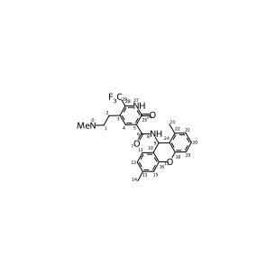 CNCCc1cc(C(=O)NC2c3ccc(C)cc3Oc3cccc(C)c32)c(=O)[nH]c1C(F)(F)F